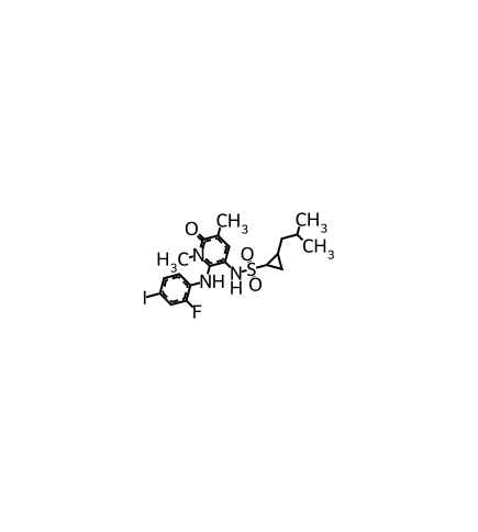 Cc1cc(NS(=O)(=O)C2CC2CC(C)C)c(Nc2ccc(I)cc2F)n(C)c1=O